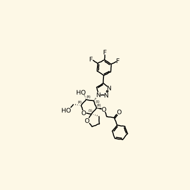 O=C(CO[C@@H]1[C@@H](n2cc(-c3cc(F)c(F)c(F)c3)nn2)[C@@H](O)[C@@H](CO)O[C@@]12CCCO2)c1ccccc1